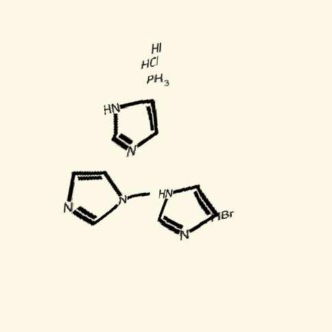 Br.Cl.Cn1ccnc1.I.P.c1c[nH]cn1.c1c[nH]cn1